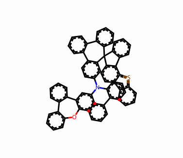 c1ccc(-c2ccccc2N(c2ccc3c(c2)-c2ccccc2-c2ccccc2O3)c2ccc3c(c2)C2(c4ccccc4-c4ccccc4-3)c3ccccc3-c3c2ccc2c3sc3ccccc32)cc1